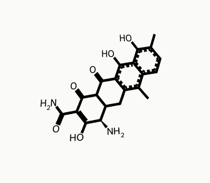 Cc1ccc2c(C)c3c(c(O)c2c1O)C(=O)C1C(=O)C(C(N)=O)=C(O)[C@H](N)C1C3